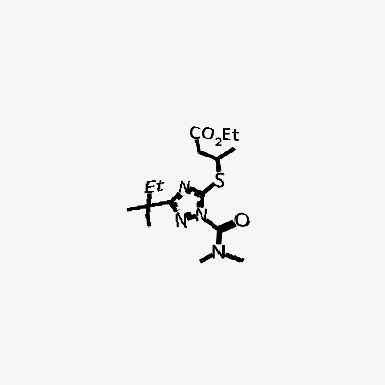 CCOC(=O)CC(C)Sc1nc(C(C)(C)CC)nn1C(=O)N(C)C